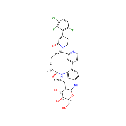 CC(=O)NCC1C(Nc2ccc3c(c2)NC(=O)[C@H](C)CCC[C@H](N2CCC(c4c(F)ccc(Cl)c4F)=CC2=O)c2cc-3ccn2)O[C@H](CO)[C@@H](O)[C@@H]1O